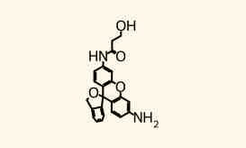 Nc1ccc2c(c1)Oc1cc(NC(=O)CCO)ccc1C21OCc2ccccc21